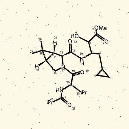 COC(=O)C(O)C(CC1CC1)NC(=O)[C@@H]1[C@@H]2[C@H](CN1C(=O)C(NC(=O)C(C)C)C(C)C)C2(C)C